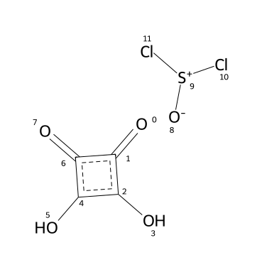 O=c1c(O)c(O)c1=O.[O-][S+](Cl)Cl